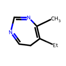 CCC1=C(C)N=CN=CC1